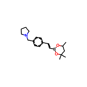 CC1CC(C)(C)OB(/C=C/c2ccc(CN3CCCC3)cc2)O1